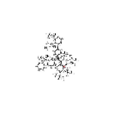 CC1(C)CCC(C)(C)c2cc(-c3cc4c(cc3N(c3ccc(-c5cccc6c5C(C)(C)CCC6(C)C)cc3)c3cccc5c3C(C)(C)CCC5(C)C)C(C)(C)c3ccccc3-4)ccc21